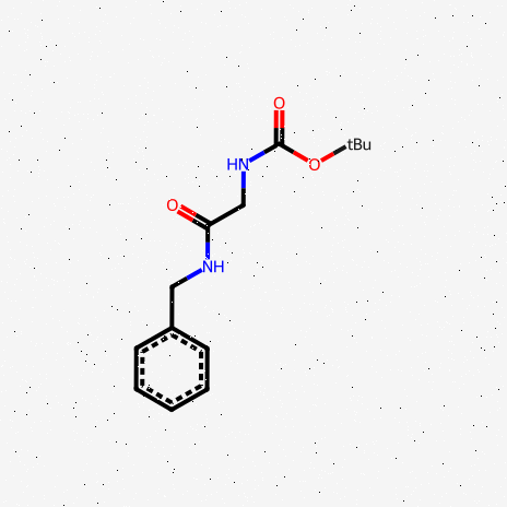 CC(C)(C)OC(=O)NCC(=O)NCc1ccccc1